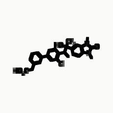 CC(c1ccc(-c2cccc(CC(=O)O)c2)cc1Cl)C(O)(c1ccc2c(c1)n(C)c(=O)n2C)C(F)(F)F